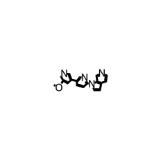 COc1cncc(-c2ccc(-n3ccc4ccncc43)nc2)c1